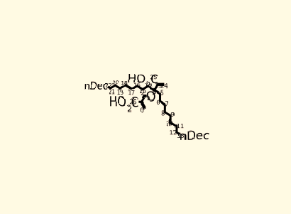 C=C(COC(CCCCCCCCCCCCCCCCCC)(CCCCCCCCCCCCCCCCCC)C(=C)C(=O)O)C(=O)O